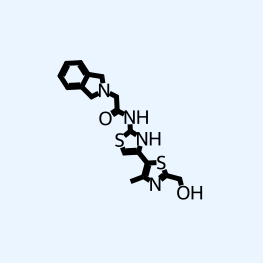 Cc1nc(CO)sc1C1=CSC(NC(=O)CN2Cc3ccccc3C2)N1